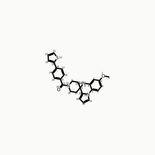 COc1ccc2c(c1)NC1(CCN(C(=O)c3ccc(-c4cccs4)cc3)CC1)c1cccn1-2